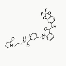 O=C(NCCCN1CCCC1=O)c1cc(CNc2ccccc2C(=O)Nc2ccc3c(c2)OC(F)(F)O3)ccn1